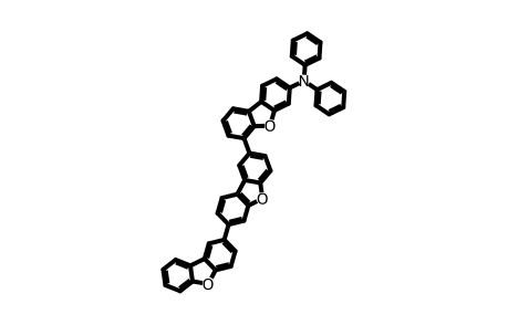 c1ccc(N(c2ccccc2)c2ccc3c(c2)oc2c(-c4ccc5oc6cc(-c7ccc8oc9ccccc9c8c7)ccc6c5c4)cccc23)cc1